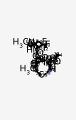 Cc1ccn(-c2ccc(C(F)(F)F)cc2NC(=O)O[C@@H]2C[C@H]3C(=O)N[C@]4(C(=O)NS(=O)(=O)C5CC5)C[C@H]4/C=C\CCCCN(C)C(=O)[C@@H]3C2)n1